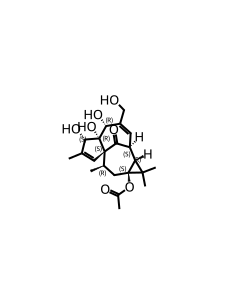 CC(=O)O[C@@]12C[C@@H](C)[C@]34C=C(C)[C@H](O)[C@@]3(O)[C@H](O)C(CO)=C[C@H](C4=O)[C@@H]1C2(C)C